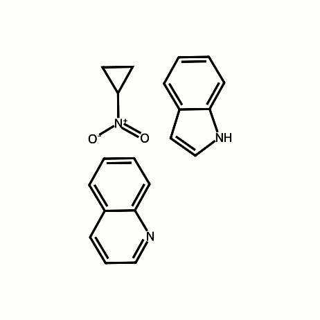 O=[N+]([O-])C1CC1.c1ccc2[nH]ccc2c1.c1ccc2ncccc2c1